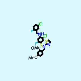 COc1ccc(CN(Sc2cc(Cl)c(NCc3cc(Cl)ccc3F)cc2F)c2nccs2)c(OC)c1